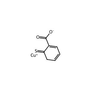 O=C([O-])C1=CC=CCC1=S.[Cu+]